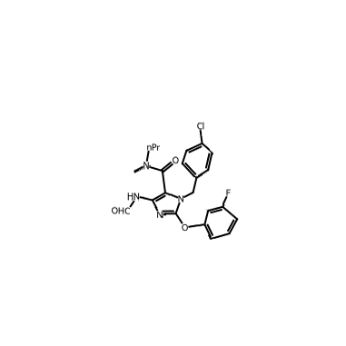 CCCN(C)C(=O)c1c(NC=O)nc(Oc2cccc(F)c2)n1Cc1ccc(Cl)cc1